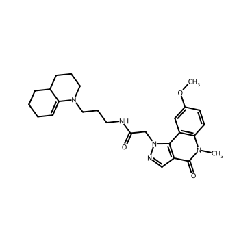 COc1ccc2c(c1)c1c(cnn1CC(=O)NCCCN1CCCC3CCCC=C31)c(=O)n2C